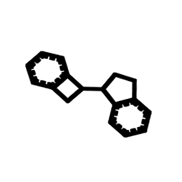 c1ccc2c(c1)CC[C]2C1Cc2ccccc21